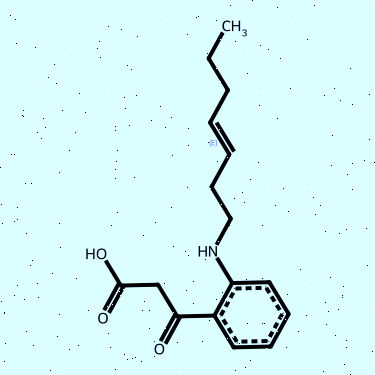 CCC/C=C/CCNc1ccccc1C(=O)CC(=O)O